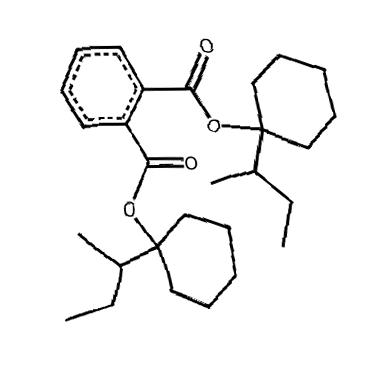 CCC(C)C1(OC(=O)c2ccccc2C(=O)OC2(C(C)CC)CCCCC2)CCCCC1